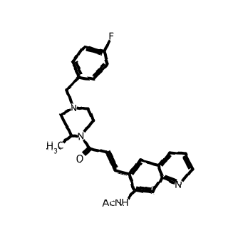 CC(=O)Nc1cc2ncccc2cc1C=CC(=O)N1CCN(Cc2ccc(F)cc2)CC1C